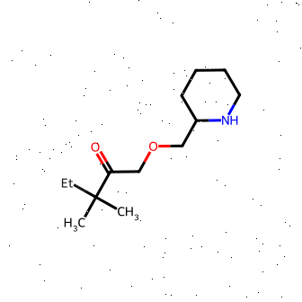 CCC(C)(C)C(=O)COCC1CCCCN1